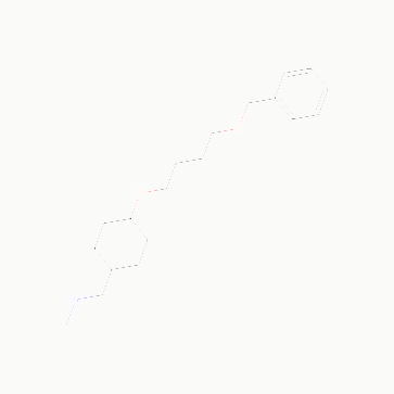 CNCC1CCC(OCCCCOCc2ccccc2)CC1